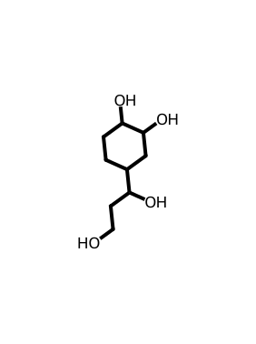 OCCC(O)C1CCC(O)C(O)C1